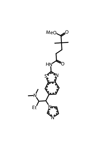 CCC(C(c1ccc2nc(NC(=O)CCC(C)(C)C(=O)OC)sc2c1)n1ccnc1)N(C)C